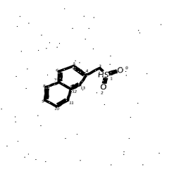 O=[SH](=O)Cc1ccc2[c]cccc2c1